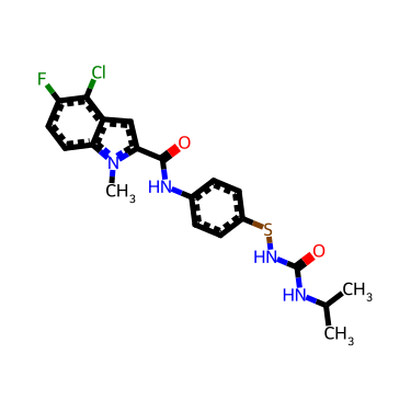 CC(C)NC(=O)NSc1ccc(NC(=O)c2cc3c(Cl)c(F)ccc3n2C)cc1